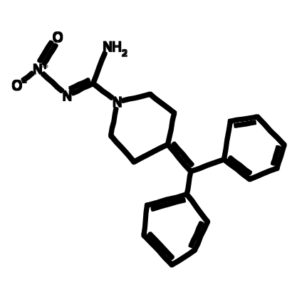 NC(=N[N+](=O)[O-])N1CCC(=C(c2ccccc2)c2ccccc2)CC1